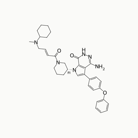 CN(CC=CC(=O)N1CCC[C@@H](n2cc(-c3ccc(Oc4ccccc4)cc3)c3c(N)n[nH]c(=O)c32)C1)C1CCCCC1